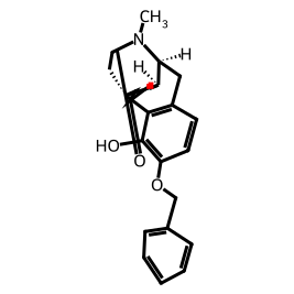 CN1CC[C@@]23CC(=O)CC[C@@H]2[C@@H]1Cc1ccc(OCc2ccccc2)c(O)c13